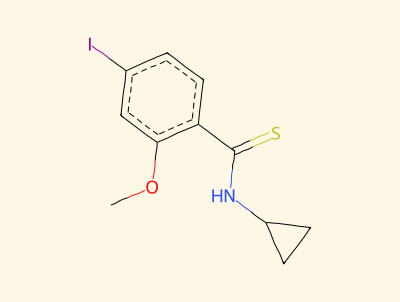 COc1cc(I)ccc1C(=S)NC1CC1